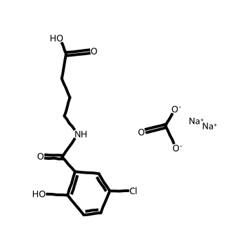 O=C(O)CCCNC(=O)c1cc(Cl)ccc1O.O=C([O-])[O-].[Na+].[Na+]